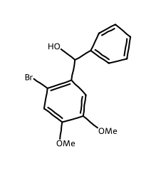 COc1cc(Br)c(C(O)c2ccccc2)cc1OC